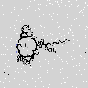 COc1cc2cc(c1Cl)N(C)C(=O)C[C@H](OC(=O)C(COCCSSC)OC)[C@@]1(C)CC(C)(O1)[C@@H]1C[C@@](O)(NC(=O)O1)[C@H](OC)/C=C/C=C(\C)C2